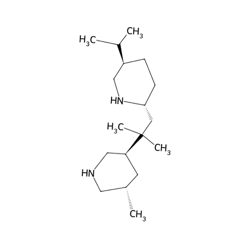 CC(C)[C@H]1CC[C@H](CC(C)(C)[C@@H]2CNC[C@@H](C)C2)NC1